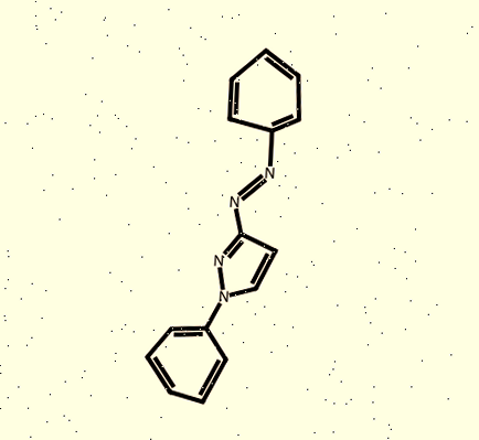 c1ccc(N=Nc2ccn(-c3ccccc3)n2)cc1